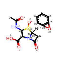 CC(=O)NC1C(C(=O)O)N2C(=O)C[C@H]2[S+]1[O-].c1ccc2c(c1)O2